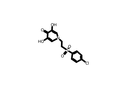 O=c1c(O)cn(CCS(=O)(=O)c2ccc(Cl)cc2)cc1O